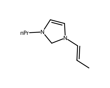 CC=CN1C=CN(CCC)C1